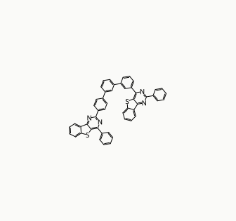 c1ccc(-c2nc(-c3cccc(-c4cccc(-c5ccc(-c6nc(-c7ccccc7)c7sc8ccccc8c7n6)cc5)c4)c3)c3sc4ccccc4c3n2)cc1